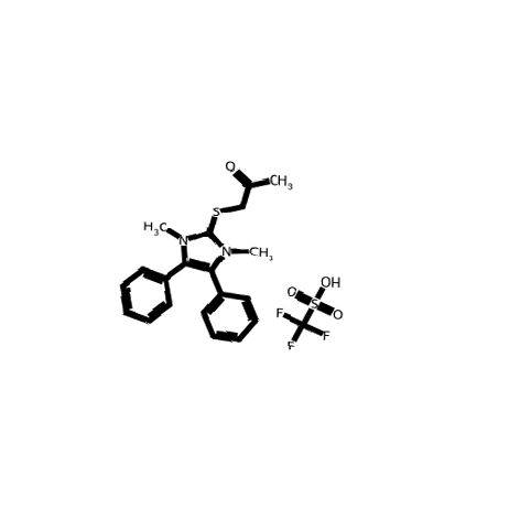 CC(=O)CSC1N(C)C(c2ccccc2)=C(c2ccccc2)N1C.O=S(=O)(O)C(F)(F)F